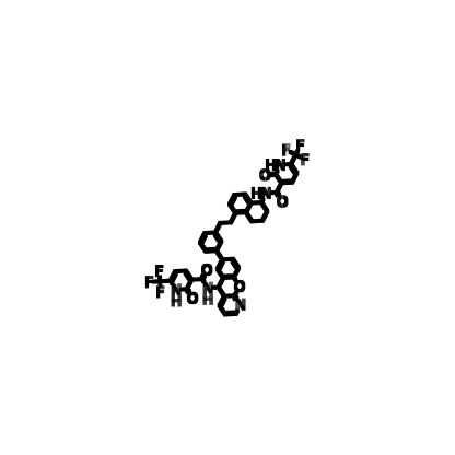 O=C(NC1CCCc2c(CCc3cccc(-c4ccc5c(c4)C(NC(=O)c4ccc(C(F)(F)F)[nH]c4=O)c4cccnc4O5)c3)cccc21)c1ccc(C(F)(F)F)[nH]c1=O